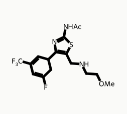 COCCNCc1sc(NC(C)=O)nc1C1C=C(C(F)(F)F)C=C(F)C1